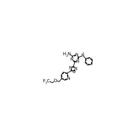 CN(c1ccccc1)c1nc(N)nc(-c2noc(-c3ccc(COCC(F)(F)F)cn3)n2)n1